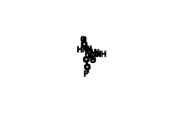 COc1ccc(Nc2ncc3c4n[nH]cc4c(=O)n(-c4cccc(-c5ccc(CF)cc5)c4)c3n2)cc1